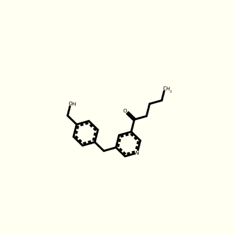 CCCCC(=O)c1cncc(Cc2ccc(CO)cc2)c1